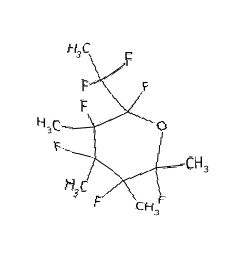 CC(F)(F)C1(F)OC(C)(F)C(C)(F)C(C)(F)C1(C)F